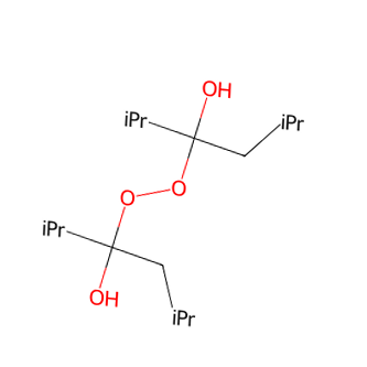 CC(C)CC(O)(OOC(O)(CC(C)C)C(C)C)C(C)C